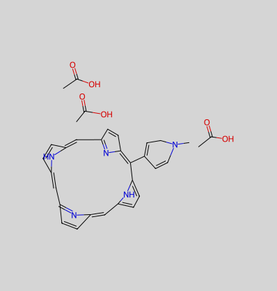 CC(=O)O.CC(=O)O.CC(=O)O.CN1C=CC(c2c3nc(cc4ccc(cc5nc(cc6ccc2[nH]6)C=C5)[nH]4)C=C3)=CC1